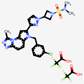 Cc1nnc2ccc3c(cc(-c4ccn(C5CN(S(=O)(=O)N(C)C)C5)n4)n3Cc3cccc(Cl)c3)n12.O=C(O)C(F)(F)F.O=C(O)C(F)(F)F